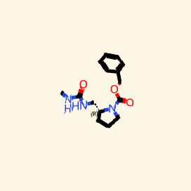 CNC(=O)NC[C@H]1CCCN1C(=O)OCc1ccccc1